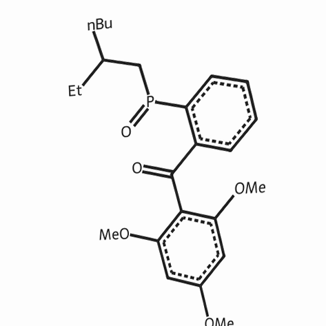 CCCCC(CC)C[P](=O)c1ccccc1C(=O)c1c(OC)cc(OC)cc1OC